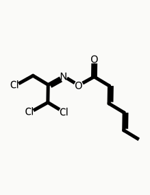 CC=CC=CC(=O)ON=C(CCl)C(Cl)Cl